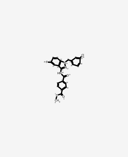 COC(=O)c1ccc(C(=O)Nc2nn(Cc3cccc(Cl)c3)c3ccc(F)cc23)cc1